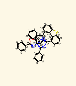 c1ccc(-c2nc(-c3ccccc3)nc(-c3cccc4sc5cccc(-c6ccc7nc(-c8ccccc8)oc7c6)c5c34)n2)cc1